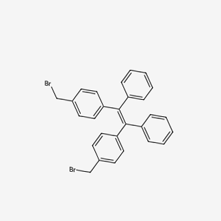 BrCc1ccc(C(=C(c2ccccc2)c2ccc(CBr)cc2)c2ccccc2)cc1